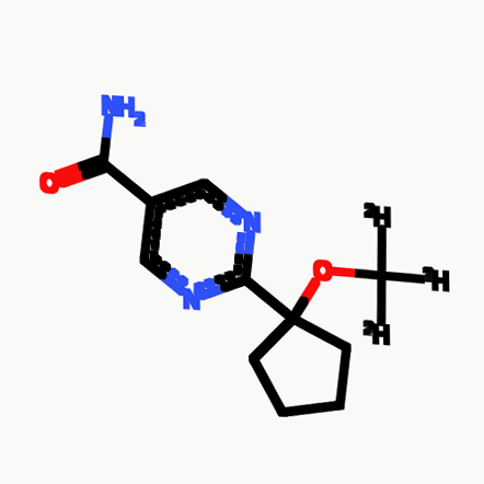 [2H]C([2H])([2H])OC1(c2ncc(C(N)=O)cn2)CCCC1